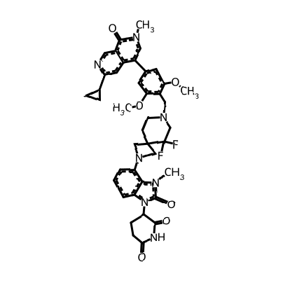 COc1cc(-c2cn(C)c(=O)c3cnc(C4CC4)cc23)cc(OC)c1CN1CCC2(CN(c3cccc4c3n(C)c(=O)n4C3CCC(=O)NC3=O)C2)C(F)(F)C1